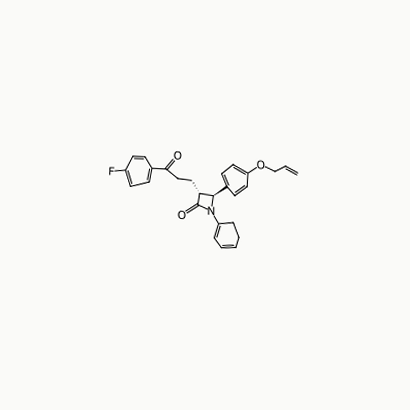 C=CCOc1ccc([C@@H]2[C@@H](CCC(=O)c3ccc(F)cc3)C(=O)N2C2=CC=CCC2)cc1